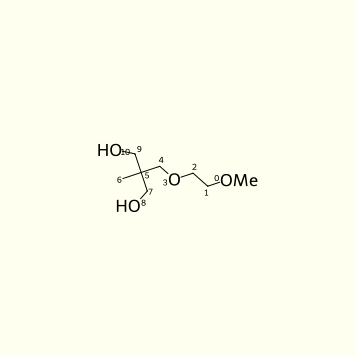 COCCOCC(C)(CO)CO